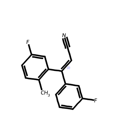 Cc1ccc(F)cc1/C(=C\C#N)c1cccc(F)c1